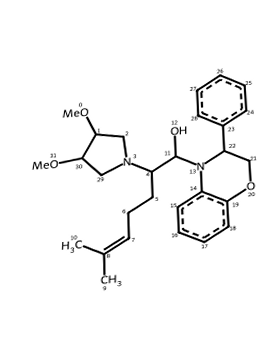 COC1CN(C(CCC=C(C)C)C(O)N2c3ccccc3OCC2c2ccccc2)CC1OC